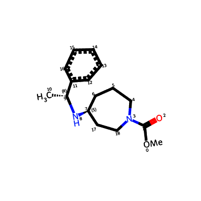 COC(=O)N1CCC[C@H](N[C@H](C)c2ccccc2)CC1